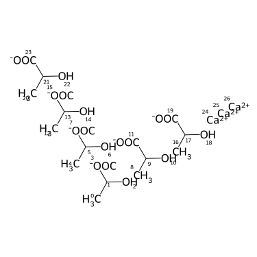 CC(O)C(=O)[O-].CC(O)C(=O)[O-].CC(O)C(=O)[O-].CC(O)C(=O)[O-].CC(O)C(=O)[O-].CC(O)C(=O)[O-].[Ca+2].[Ca+2].[Ca+2]